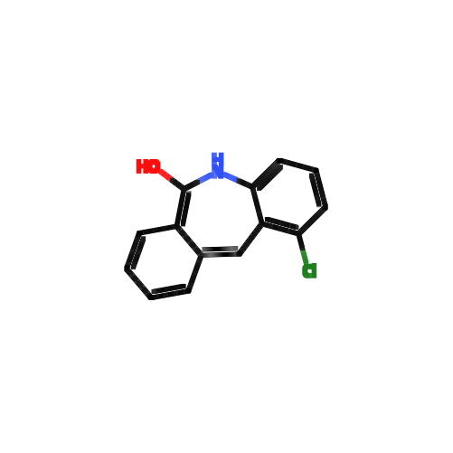 OC1=c2ccccc2=Cc2c(Cl)cccc2N1